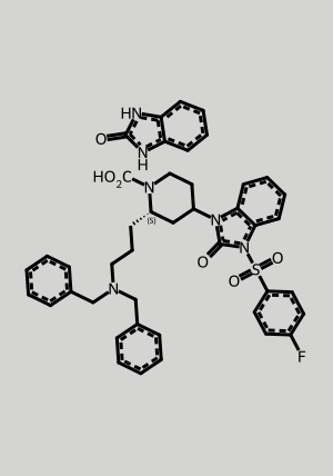 O=C(O)N1CCC(n2c(=O)n(S(=O)(=O)c3ccc(F)cc3)c3ccccc32)C[C@@H]1CCCN(Cc1ccccc1)Cc1ccccc1.O=c1[nH]c2ccccc2[nH]1